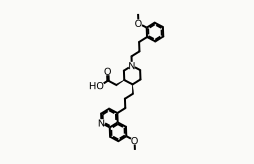 COc1ccc2nccc(CCC[C@@H]3CCN(CCCc4ccccc4OC)C[C@@H]3CC(=O)O)c2c1